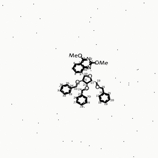 COc1nc(OC)c2cccc([C@@H]3O[C@H](COCc4ccccc4)[C@@H](OCc4ccccc4)[C@H]3OCc3ccccc3)c2n1